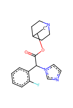 O=C(OC1CN2CCC1CC2)C(c1ccccc1F)n1ccnc1